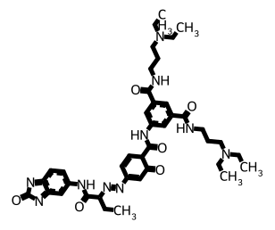 CCC(N=NC1=CC(=O)C(C(=O)Nc2cc(C(=O)NCCCN(CC)CC)cc(C(=O)NCCCN(CC)CC)c2)C=C1)C(=O)Nc1ccc2c(c1)=NC(=O)N=2